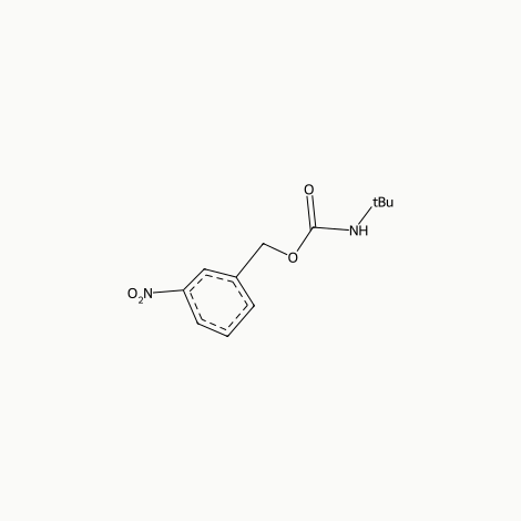 CC(C)(C)NC(=O)OCc1cccc([N+](=O)[O-])c1